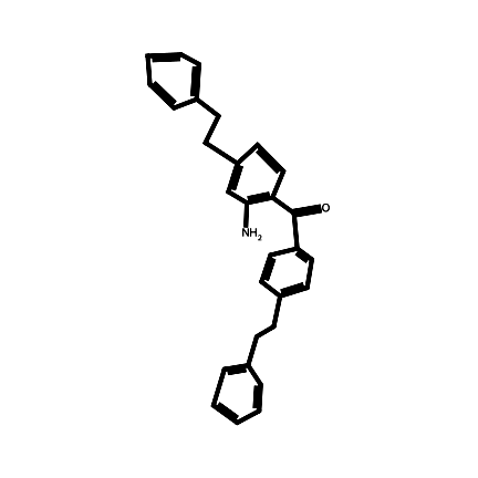 Nc1cc(CCc2ccccc2)ccc1C(=O)c1ccc(CCc2ccccc2)cc1